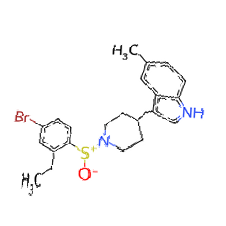 CCc1cc(Br)ccc1[S+]([O-])N1CCC(c2c[nH]c3ccc(C)cc23)CC1